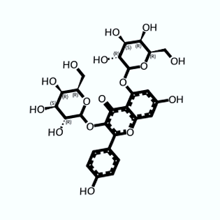 O=c1c(OC2O[C@H](CO)[C@H](O)[C@H](O)[C@H]2O)c(-c2ccc(O)cc2)oc2cc(O)cc(OC3O[C@H](CO)[C@H](O)[C@H](O)[C@H]3O)c12